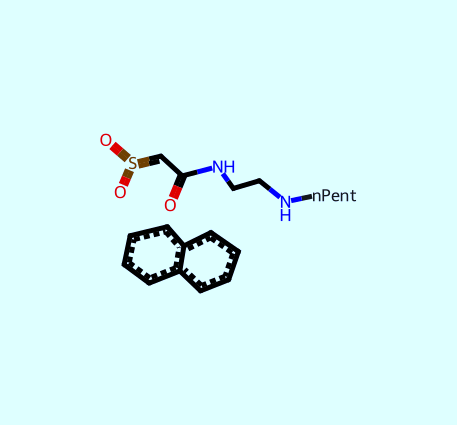 CCCCCNCCNC(=O)C=S(=O)=O.c1ccc2ccccc2c1